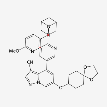 COc1ccc(CN2C3CC2CN(c2ccc(-c4cc(OC5CCC6(CC5)OCCO6)cn5ncc(C#N)c45)cn2)C3)cn1